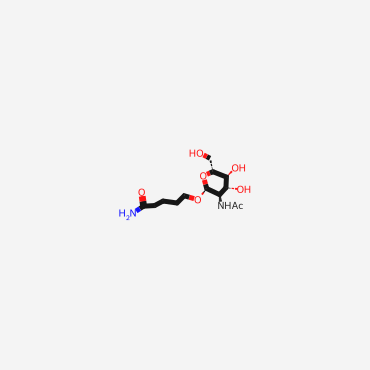 CC(=O)N[C@H]1[C@H](OCCCCC(N)=O)O[C@H](CO)[C@H](O)[C@@H]1O